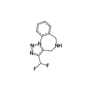 FC(F)c1nnn2c1CNCc1ccccc1-2